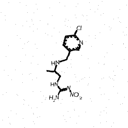 CC(CNC(N)=N[N+](=O)[O-])NCc1ccc(Cl)nc1